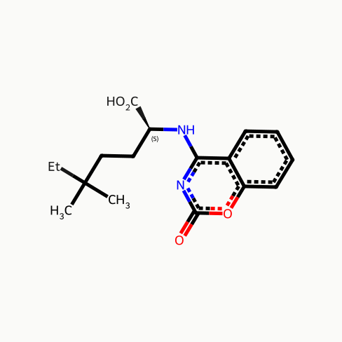 CCC(C)(C)CC[C@H](Nc1nc(=O)oc2ccccc12)C(=O)O